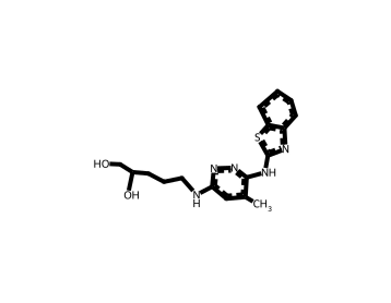 Cc1cc(NCCCC(O)CO)nnc1Nc1nc2ccccc2s1